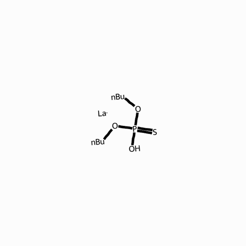 CCCCOP(O)(=S)OCCCC.[La]